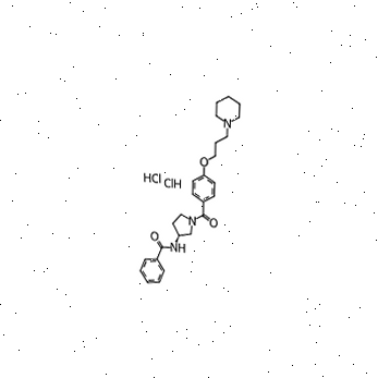 Cl.Cl.O=C(N[C@H]1CCN(C(=O)c2ccc(OCCCN3CCCCC3)cc2)C1)c1ccccc1